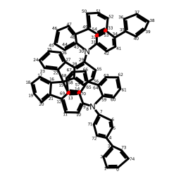 c1ccc(-c2ccc(N(c3ccc4c(c3)C3(c5ccccc5-4)c4ccccc4-c4c(N(c5ccc(-c6ccccc6)cc5)c5ccccc5-c5ccccc5)cccc43)c3ccccc3-c3ccccc3)cc2)cc1